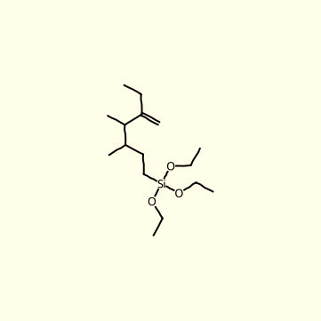 C=C(CC)C(C)C(C)CC[Si](OCC)(OCC)OCC